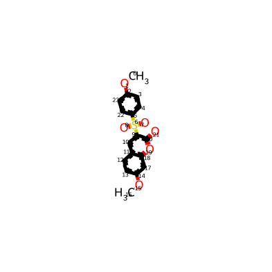 COc1ccc(S(=O)(=O)c2cc3ccc(OC)cc3oc2=O)cc1